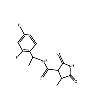 CC(NC(=O)C1C(=O)NC(=O)C1C)c1ccc(F)cc1F